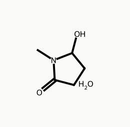 CN1C(=O)CCC1O.O